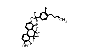 C=CCCc1ccc(C(F)(F)Oc2ccc3c(c2F)C(F)(F)C(F)(F)c2c-3ccc(CCC)c2F)cc1F